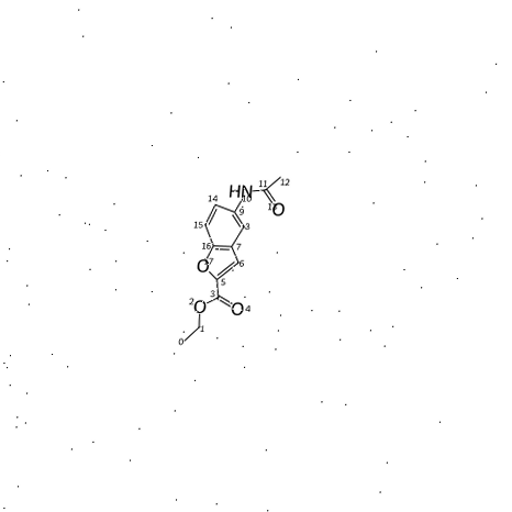 CCOC(=O)c1cc2cc(NC(C)=O)ccc2o1